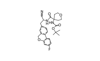 CC(C)(C)OC(=O)NC1(C(=O)NC(C#N)Cc2ccc3c(c2)COc2cc(F)ccc2-3)CCOCC1